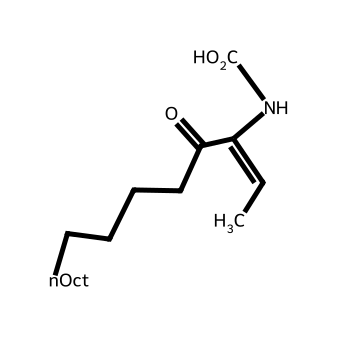 CC=C(NC(=O)O)C(=O)CCCCCCCCCCCC